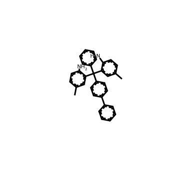 Cc1ccc(N)c(C(c2ccccc2)(c2ccc(-c3ccccc3)cc2)c2cc(C)ccc2N)c1